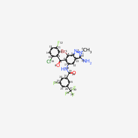 Cn1nc2c(Br)c(C(=O)c3cc(F)ccc3Cl)c(NC(=O)c3cc(F)cc(C(F)(F)F)c3)cc2c1N